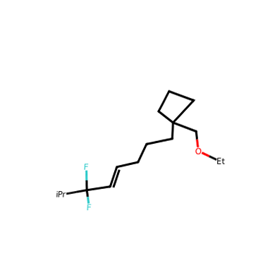 CCOCC1(CCC/C=C/C(F)(F)C(C)C)CCC1